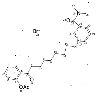 CC(=O)Oc1ccccc1C(=O)CCCCCCCC[n+]1cccc(C(=O)N(C)C)c1.[Br-]